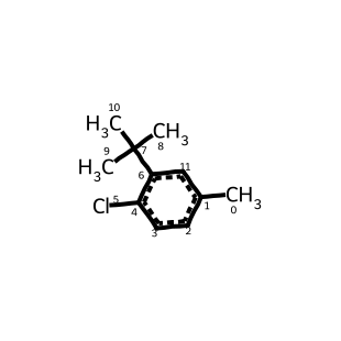 Cc1ccc(Cl)c(C(C)(C)C)c1